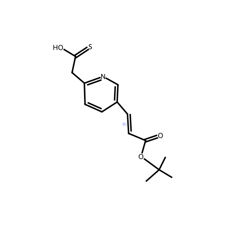 CC(C)(C)OC(=O)/C=C/c1ccc(CC(O)=S)nc1